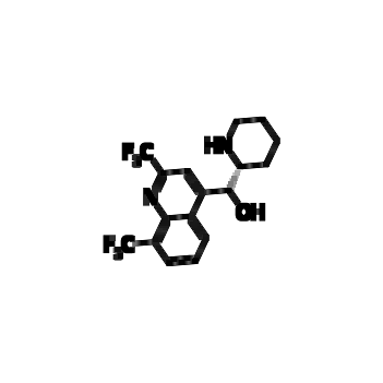 OC(c1cc(C(F)(F)F)nc2c(C(F)(F)F)cccc12)[C@H]1CCCCN1